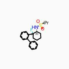 CC(C)S(=O)(=O)N[C@@H]1CCCC[C@]1(F)c1ccccc1-c1ccccc1